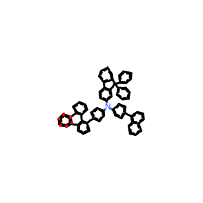 c1ccc(-c2ccccc2-c2c(-c3ccccc3)cccc2-c2ccc(N(c3ccc(-c4cccc5ccccc45)cc3)c3ccc4c(c3)C(c3ccccc3)(c3ccccc3)c3ccccc3-4)cc2)cc1